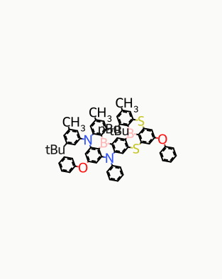 CCCCc1cc(C)cc2c1B1c3cc4c(cc3Sc3cc(Oc5ccccc5)cc(c31)S2)N(c1ccccc1)c1cc(Oc2ccccc2)cc2c1B4c1c(cc(C)cc1C(C)(C)C)N2c1cc(C)cc(C(C)(C)C)c1